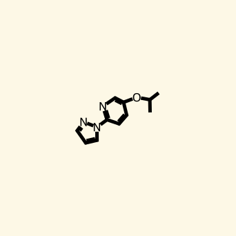 CC(C)Oc1ccc(-n2cccn2)nc1